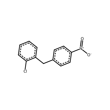 O=[N+]([O-])c1ccc(Cc2ccccc2Cl)cc1